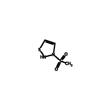 CS(=O)(=O)N1C=CSN1